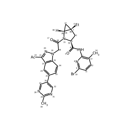 CC[C@@]12C[C@@H](C(=O)Nc3nc(Br)ccc3C)N(C(=O)Cn3nc(C(C)=O)c4cc(-c5cnc(C)nc5)ccc43)[C@@H]1C2